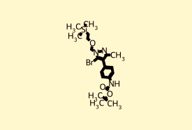 Cc1nn(COCC[Si](C)(C)C)c(Br)c1-c1ccc(NC(=O)OC(C)(C)C)cc1